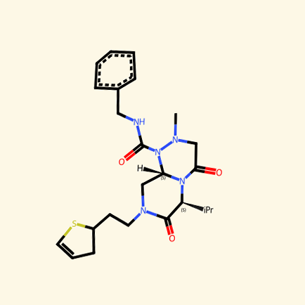 CC(C)[C@H]1C(=O)N(CCC2CC=CS2)C[C@H]2N1C(=O)CN(C)N2C(=O)NCc1ccccc1